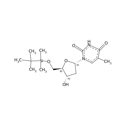 Cc1cn([C@@H]2C[C@H](O)[C@@H](CO[Si](C)(C)C(C)(C)C)O2)c(=O)[nH]c1=O